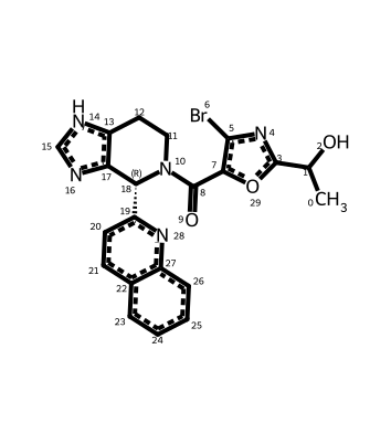 CC(O)c1nc(Br)c(C(=O)N2CCc3[nH]cnc3[C@H]2c2ccc3ccccc3n2)o1